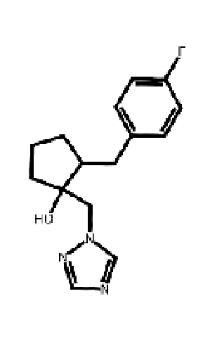 OC1(Cn2cncn2)CCCC1Cc1ccc(F)cc1